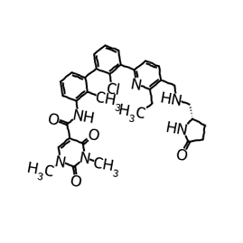 CCc1nc(-c2cccc(-c3cccc(NC(=O)c4cn(C)c(=O)n(C)c4=O)c3C)c2Cl)ccc1CNC[C@@H]1CCC(=O)N1